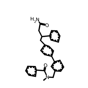 CN(Cc1cccc(-c2ccc(CC(CC(N)=O)c3ccccc3)cc2)c1)C(=O)c1ccccc1